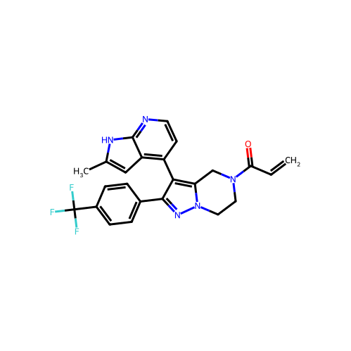 C=CC(=O)N1CCn2nc(-c3ccc(C(F)(F)F)cc3)c(-c3ccnc4[nH]c(C)cc34)c2C1